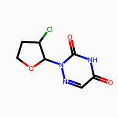 O=c1cnn(C2OCCC2Cl)c(=O)[nH]1